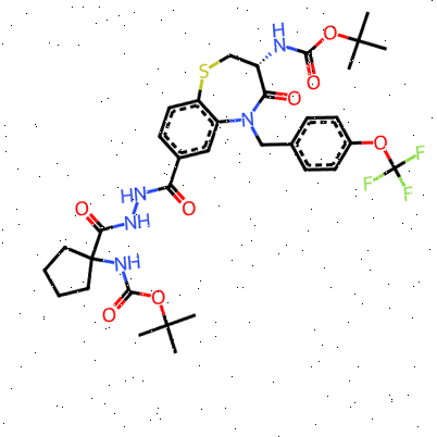 CC(C)(C)OC(=O)N[C@H]1CSc2ccc(C(=O)NNC(=O)C3(NC(=O)OC(C)(C)C)CCCC3)cc2N(Cc2ccc(OC(F)(F)F)cc2)C1=O